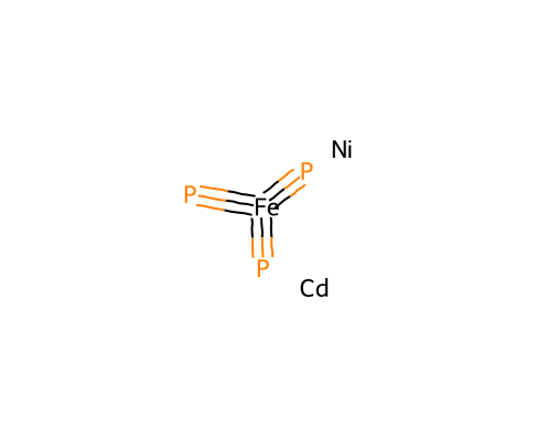 [Cd].[Ni].[P]#[Fe](#[P])#[P]